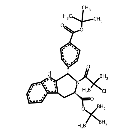 BC(B)(B)OC(=O)[C@H]1Cc2c([nH]c3ccccc23)[C@H](c2ccc(C(=O)OC(C)(C)C)cc2)N1C(=O)C(B)(B)Cl